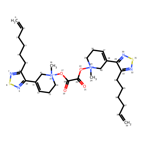 C=CCCCCc1nsnc1C1=CCC[N+](C)(OC(=O)C(=O)O[N+]2(C)CCC=C(c3nsnc3CCCCC=C)C2)C1